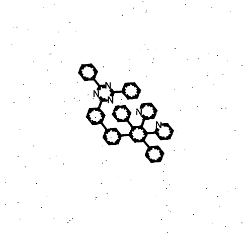 c1ccc(-c2nc(-c3ccccc3)nc(-c3cccc(-c4cccc(-c5cc(-c6ccccc6)c(-c6ccccn6)c(-c6ccccn6)c5-c5ccccc5)c4)c3)n2)cc1